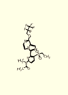 CCS(=O)(=O)c1ccc(N(C)C(C)=O)nc1-c1ncc2c(OCC(F)(F)C(F)(F)F)nccn12